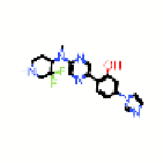 CN(c1cnc(-c2ccc(-n3ccnc3)cc2O)cn1)C1CCNCC1(F)F